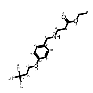 CCOC(=O)CCNCc1ccc(OCCC(F)(F)F)cc1